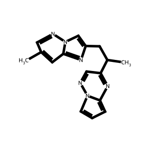 Cc1cnn2cc(CC(C)c3cnn4cccc4n3)nc2c1